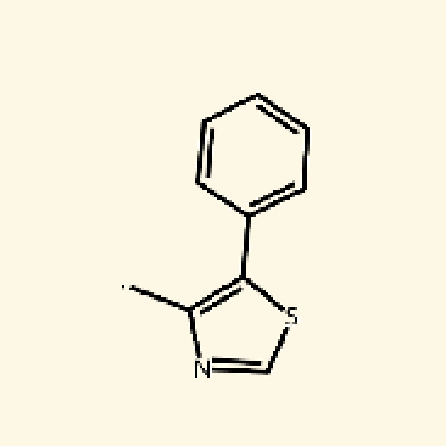 [CH2]c1ncsc1-c1ccccc1